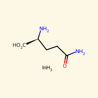 NC(=O)CC[C@H](N)C(=O)O.[InH3]